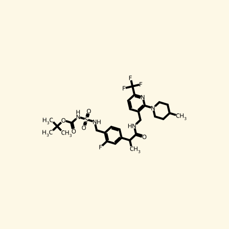 CC1CCN(c2nc(C(F)(F)F)ccc2CNC(=O)C(C)c2ccc(CNS(=O)(=O)NC(=O)OC(C)(C)C)c(F)c2)CC1